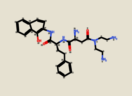 NCCN(CCN)C(=O)C[C@H](N)C(=O)N[C@@H](CCc1ccccc1)C(=O)Nc1ccc2ccccc2c1O